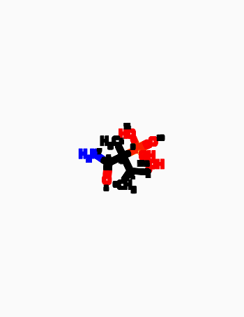 CC(CO)C(C)(C(N)=O)P(=O)(O)O